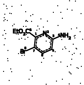 CCOC(=O)c1nc(N)ccc1Br